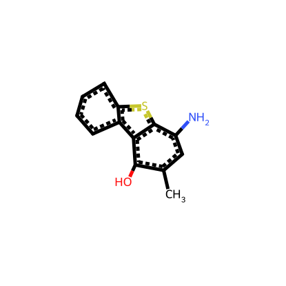 Cc1cc(N)c2sc3ccccc3c2c1O